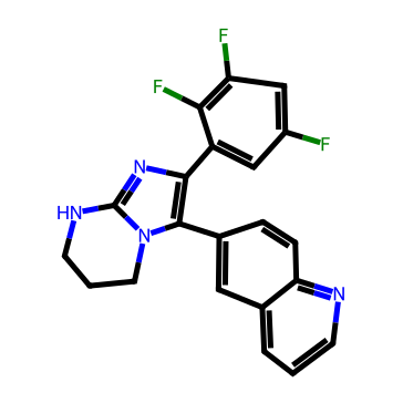 Fc1cc(F)c(F)c(-c2nc3n(c2-c2ccc4ncccc4c2)CCCN3)c1